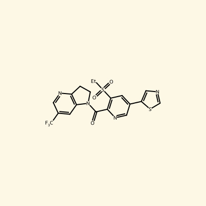 CCS(=O)(=O)c1cc(-c2cncs2)cnc1C(=O)N1CCc2ncc(C(F)(F)F)cc21